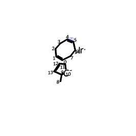 C1=CCC/C=C\CC1.CC1=[C-]CC=C1.[Ir]